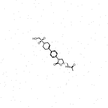 CC(=O)NC[C@H]1CN(c2ccc(C3=CCN(S(=O)(=O)CO)CC3)cc2)C(=O)O1